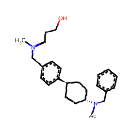 CC(=O)N(Cc1ccccc1)[C@H]1CC[C@H](c2ccc(CN(C)CCCO)cc2)CC1